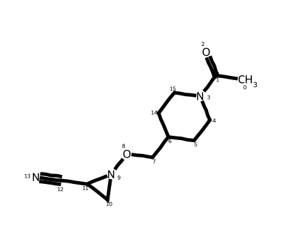 CC(=O)N1CCC(CON2CC2C#N)CC1